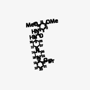 COc1ccc(NC(=O)N[C@H]2CC[C@@H](N3CCN(c4ccccc4OC(C)C)CC3)CC2)c(OC)c1